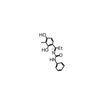 CC/C(=N\C(=O)Nc1ccccc1)c1ccc(O)c(C)c1O